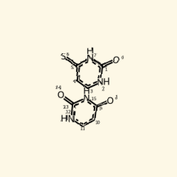 O=c1[nH]ccc(=S)[nH]1.O=c1cc[nH]c(=O)[nH]1